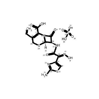 C=CC1=C(C(=O)O)N2C(=O)[C@@H](NC(=O)C(=NO)c3csc(N)n3)[C@H]2SC1.O=S(=O)(O)O